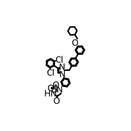 O=C1CN(c2cccc(-n3cc(-c4c(Cl)cccc4Cl)nc3Cc3ccc(-c4cccc(OCC5CCCCC5)c4)cc3)c2)S(=O)(=O)N1